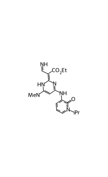 CCOC(=O)/C(C=N)=C1\N=C(Nc2cccn(C(C)C)c2=O)C=C(NC)N1